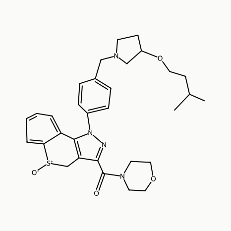 CC(C)CCOC1CCN(Cc2ccc(-n3nc(C(=O)N4CCOCC4)c4c3-c3ccccc3[S+]([O-])C4)cc2)C1